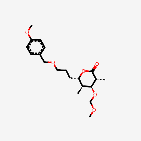 COCO[C@H]1[C@@H](C)[C@H](CCCOCc2ccc(OC)cc2)OC(=O)[C@@H]1C